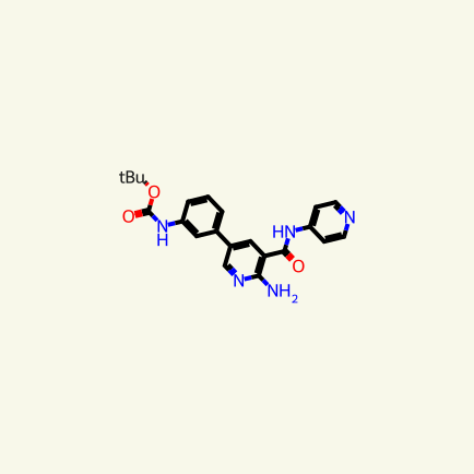 CC(C)(C)OC(=O)Nc1cccc(-c2cnc(N)c(C(=O)Nc3ccncc3)c2)c1